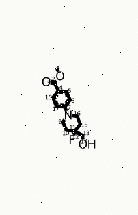 COC(=O)c1ccc(N2CCC(F)(CO)CC2)cc1